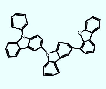 c1ccc(-n2c3ccccc3c3cc(-n4c5ccccc5c5cc(-c6cccc7c6oc6ccccc67)ccc54)ccc32)cc1